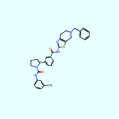 N#Cc1cccc(NC(=O)N2CCC[C@H]2c2cccc(C(=O)Nc3nc4c(s3)CN(Cc3ccccc3)CC4)c2)c1